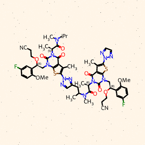 COc1ccc(F)cc1[C@H](Cn1c(=O)n([C@H](C)C(=O)N(C)C(C)Cc2cnn(-c3sc4c(c3C)c(=O)n([C@@H](C)C(=O)N(C)C(C)C)c(=O)n4C[C@H](OCCC#N)c3cc(F)ccc3OC)n2)c(=O)c2c(C)c(-n3nccn3)sc21)OCCC#N